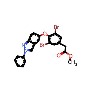 COC(=O)Cc1cc(Br)c(Oc2ccc3nn(-c4ccccc4)cc3c2)c(Br)c1